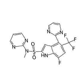 CN(c1ncccn1)S(=O)(=O)c1cc2c(-c3ncccn3)c(C(F)(F)F)cc(F)c2[nH]1